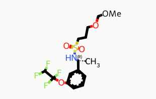 COCOCCCS(=O)(=O)N[C@H](C)c1cccc(OC(F)(F)C(F)F)c1